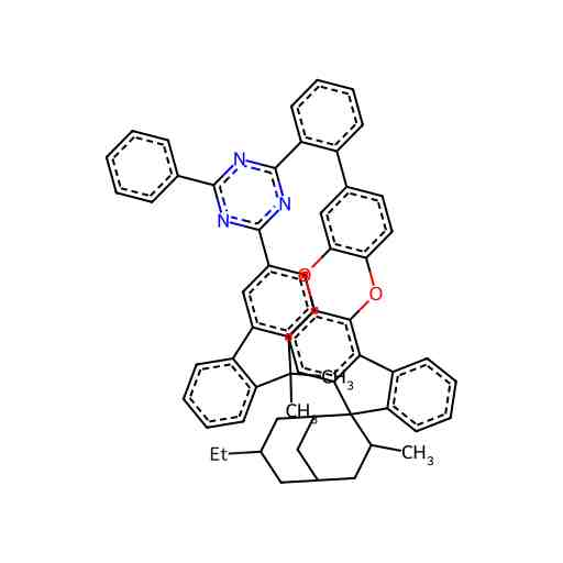 CCC1CC2CC(C)C3(c4ccccc4-c4c3ccc3c4Oc4ccc(-c5ccccc5-c5nc(-c6ccccc6)nc(-c6ccc7c(c6)-c6ccccc6C7(C)C)n5)cc4O3)C(C1)C2